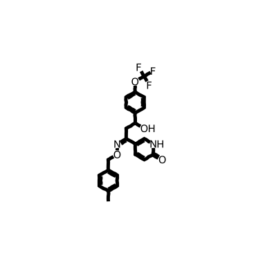 Cc1ccc(CON=C(CC(O)c2ccc(OC(F)(F)F)cc2)c2ccc(=O)[nH]c2)cc1